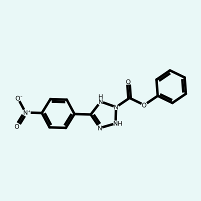 O=C(Oc1ccccc1)N1NN=C(c2ccc([N+](=O)[O-])cc2)N1